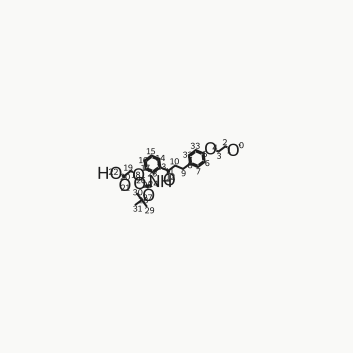 COCCOc1ccc(CCC(=O)c2cccc(OCC(=O)O)c2NC(=O)OC(C)(C)C)cc1